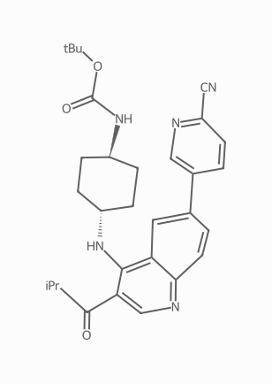 CC(C)C(=O)c1cnc2ccc(-c3ccc(C#N)nc3)cc2c1N[C@H]1CC[C@H](NC(=O)OC(C)(C)C)CC1